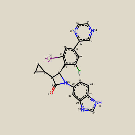 O=C1C(C2CC2)[C@@H](c2c(F)cc(-c3cnccn3)cc2P)N1c1ccc2[nH]cnc2c1